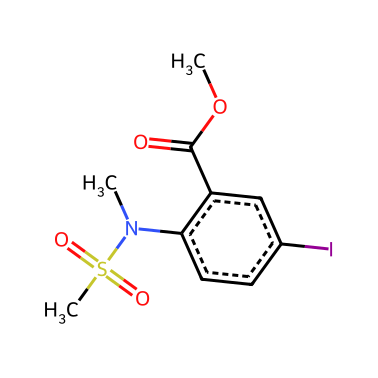 COC(=O)c1cc(I)ccc1N(C)S(C)(=O)=O